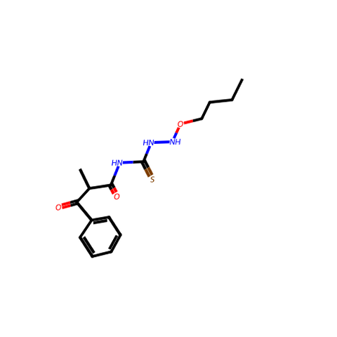 CCCCONNC(=S)NC(=O)C(C)C(=O)c1ccccc1